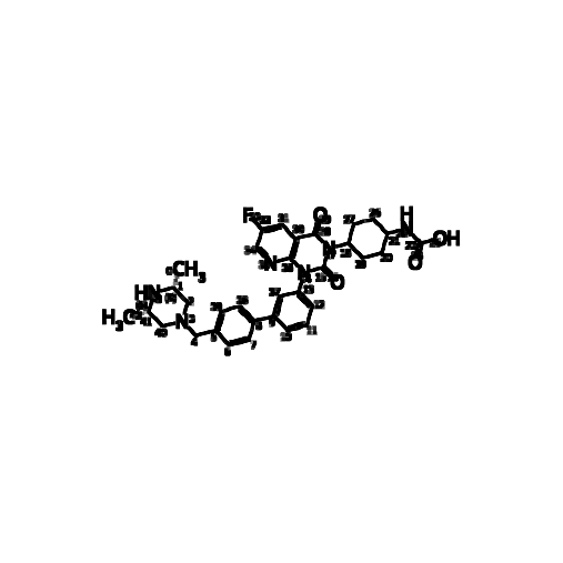 C[C@@H]1CN(Cc2ccc(-c3cccc(-n4c(=O)n(C5CCC(NC(=O)O)CC5)c(=O)c5cc(F)cnc54)c3)cc2)C[C@H](C)N1